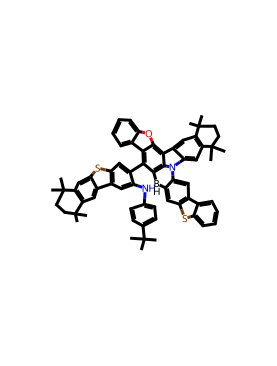 CC(C)(C)c1ccc(Nc2cc3c(cc2-c2c4c5c(c6cc7c(cc6n5-c5cc6c(cc5B4)sc4ccccc46)C(C)(C)CCC7(C)C)c4oc5ccccc5c24)sc2cc4c(cc23)C(C)(C)CCC4(C)C)cc1